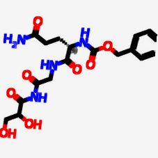 NC(=O)CC[C@H](NC(=O)OCc1ccccc1)C(=O)NCC(=O)NC(=O)C(O)CO